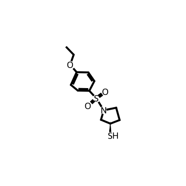 CCOc1ccc(S(=O)(=O)N2CC[C@@H](S)C2)cc1